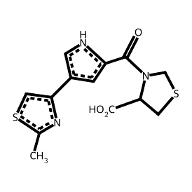 Cc1nc(-c2c[nH]c(C(=O)N3CSCC3C(=O)O)c2)cs1